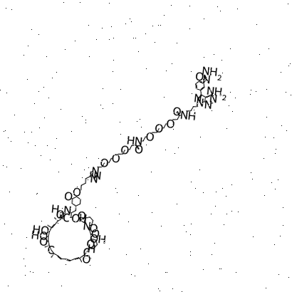 CO[C@H]1C[C@@H]2CC[C@@H](C)[C@@](O)(O2)C(=O)C(=O)N2CCCC[C@H]2C(=O)O[C@H]([C@H](N)C[C@@H]2CC[C@@H](OCCCCc3cn(CCOCCOCCOCCC(=O)NCCOCCOCCOCCC(=O)NCCCCn4nc(-c5ccc6oc(N)nc6c5)c5c(N)ncnc54)nn3)[C@H](OC)C2)CC(=O)[C@H](C)/C=C(\C)[C@@H](O)[C@@H](O)C(=O)[C@H](C)C[C@H](C)/C=C/C=C/C=C/1C